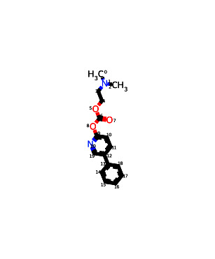 CN(C)CCOC(=O)Oc1ccc(-c2ccccc2)cn1